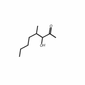 CCCCC(C)C(O)C(C)=O